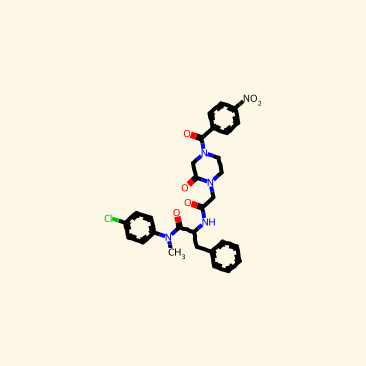 CN(C(=O)C(Cc1ccccc1)NC(=O)CN1CCN(C(=O)c2ccc([N+](=O)[O-])cc2)CC1=O)c1ccc(Cl)cc1